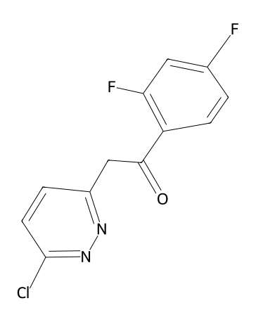 O=C(Cc1ccc(Cl)nn1)c1ccc(F)cc1F